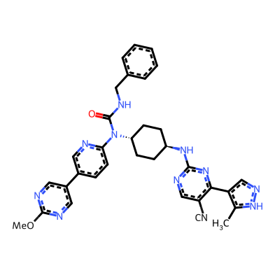 COc1ncc(-c2ccc(N(C(=O)NCc3ccccc3)[C@H]3CC[C@H](Nc4ncc(C#N)c(-c5cn[nH]c5C)n4)CC3)nc2)cn1